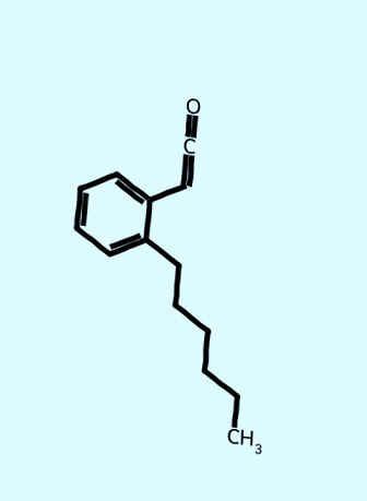 CCCCCCc1ccccc1C=C=O